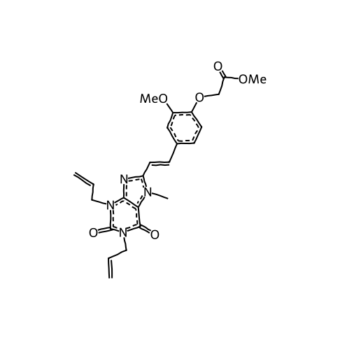 C=CCn1c(=O)c2c(nc(/C=C/c3ccc(OCC(=O)OC)c(OC)c3)n2C)n(CC=C)c1=O